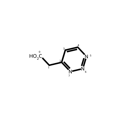 O=C(O)Cc1ccnnn1